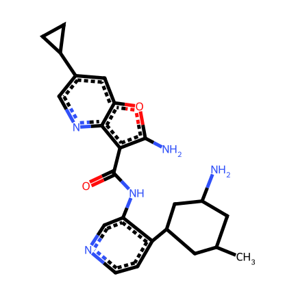 CC1CC(N)CC(c2ccncc2NC(=O)c2c(N)oc3cc(C4CC4)cnc23)C1